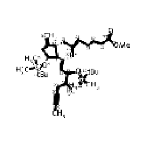 C=C1C[C@@H](O[Si](C)(C)C(C)(C)C)[C@H](/C=C/C(O[Si](C)(C)C(C)(C)C)C(C)CC#CC)[C@H]1C/C(Br)=C/CCCC(=O)OC